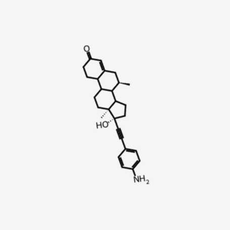 C[C@@H]1CC2=CC(=O)CCC2C2CC[C@@]3(C)C(CC[C@@]3(O)C#Cc3ccc(N)cc3)C21